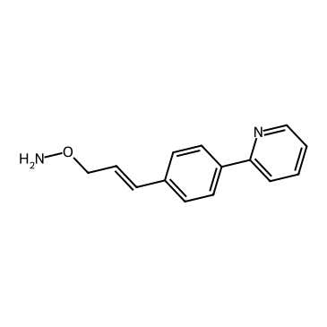 NOCC=Cc1ccc(-c2ccccn2)cc1